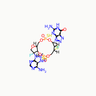 CN1Nc2c(N)ncnc2N1[C@]1(F)CO[C@@H]2COP(=O)(S)O[C@@]3(n4nnc5c(=O)[nH]c(N)nc54)CS[C@H](COP(=O)(S)O[C@H]21)[C@H]3F